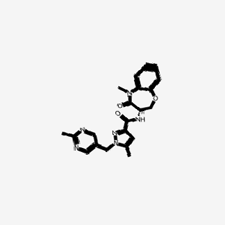 Cc1ncc(Cn2nc(C(=O)N[C@H]3COc4cc#ccc4N(C)C3=O)cc2C)cn1